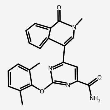 Cc1cccc(C)c1Oc1nc(C(N)=O)cc(-c2cn(C)c(=O)c3ccccc23)n1